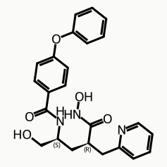 O=C(N[C@H](CO)C[C@H](Cc1ccccn1)C(=O)NO)c1ccc(Oc2ccccc2)cc1